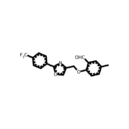 Cc1ccc(OCc2coc(-c3ccc(C(F)(F)F)cc3)n2)c(C=O)c1